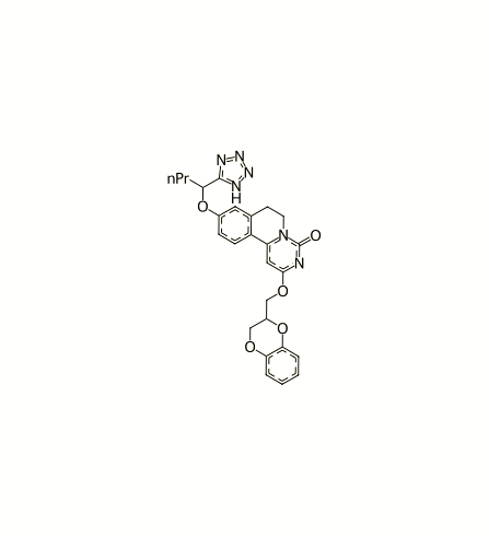 CCCC(Oc1ccc2c(c1)CCn1c-2cc(OCC2COc3ccccc3O2)nc1=O)c1nnn[nH]1